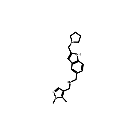 Cc1c(CNCc2ccc3[nH]c(CN4CCCC4)cc3c2)cnn1C